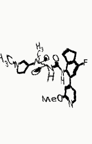 COc1cc(-c2cc(F)c3c(c2NC(=O)NS(=O)(=O)N(C)C2CCN(C)C2)CCC3)ccn1